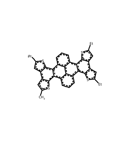 CCc1cc2c3cc(CC)sc3c3c4cccc5c4c4c(cccc4c3c2s1)c1c2sc(C)cc2c2cc(C(C)C)sc2c51